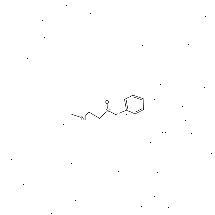 CNCC[S+]([O-])Cc1ccccc1